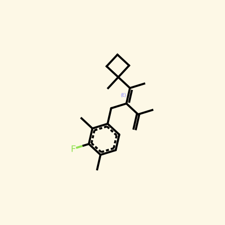 C=C(C)/C(Cc1ccc(C)c(F)c1C)=C(\C)C1(C)CCC1